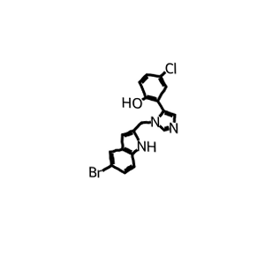 Oc1ccc(Cl)cc1-c1cncn1Cc1cc2cc(Br)ccc2[nH]1